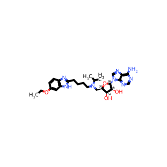 CCOc1ccc2nc(CCCCN(C[C@H]3O[C@@H](n4cnc5c(N)ncnc54)[C@H](O)[C@@H]3O)C(C)C)[nH]c2c1